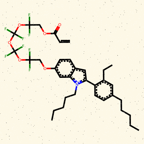 C=CC(=O)OCC(F)(F)OC(F)(F)OC(F)(F)OC(F)(F)COc1ccc2cc(-c3ccc(CCCCC)cc3CC)n(CCCCC)c2c1